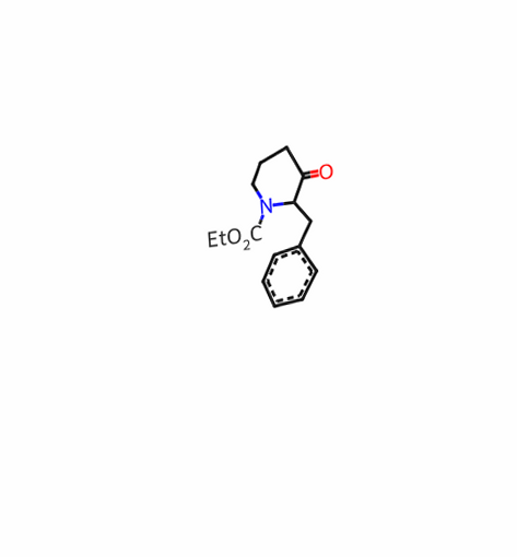 CCOC(=O)N1CCCC(=O)C1Cc1ccccc1